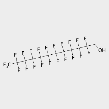 OCC(F)(F)C(F)(F)C(F)(F)C(F)(F)C(F)(F)C(F)(F)C(F)(F)C(F)(F)C(F)(F)C(F)(F)C(F)(F)F